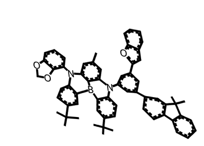 Cc1cc2c3c(c1)N(c1cccc4c1OCO4)c1ccc(C(C)(C)C)cc1B3c1cc(C(C)(C)C)ccc1N2c1cc(-c2ccc3c(c2)C(C)(C)c2ccccc2-3)cc(-c2cc3ccccc3o2)c1